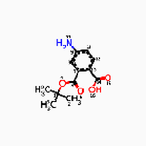 CC(C)(C)OC(=O)c1cc(N)ccc1C(=O)O